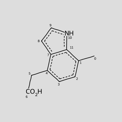 Cc1ccc(CC(=O)O)c2cc[nH]c12